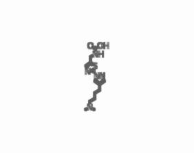 CN(C)CCCCc1cnn(-c2ncc(CNC(=O)O)s2)c1